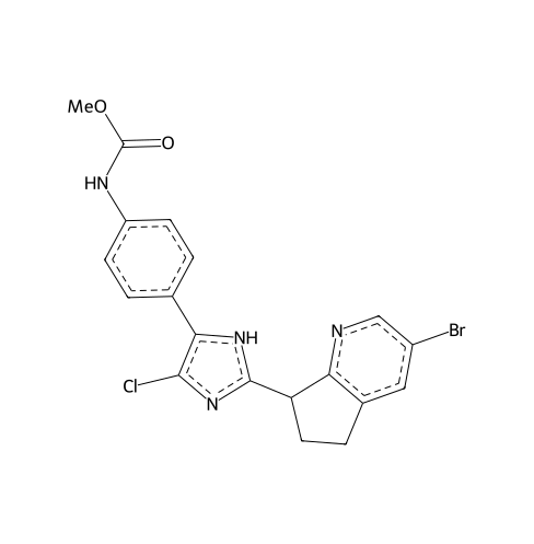 COC(=O)Nc1ccc(-c2[nH]c(C3CCc4cc(Br)cnc43)nc2Cl)cc1